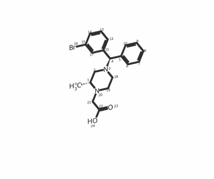 C[C@@H]1CN([C@H](c2ccccc2)c2cccc(Br)c2)CCN1CC(=O)O